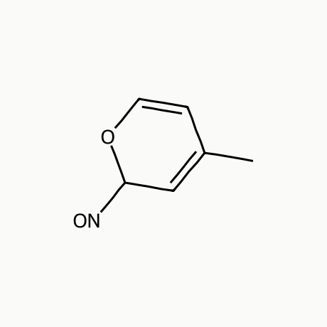 CC1=CC(N=O)OC=C1